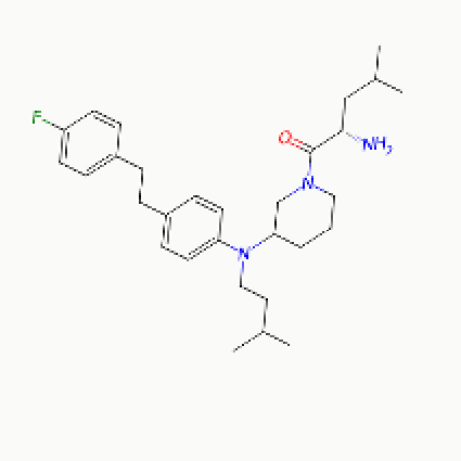 CC(C)CCN(c1ccc(CCc2ccc(F)cc2)cc1)C1CCCN(C(=O)[C@@H](N)CC(C)C)C1